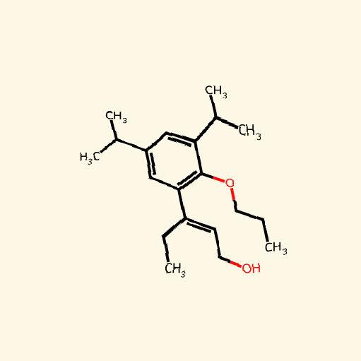 CCCOc1c(C(=CCO)CC)cc(C(C)C)cc1C(C)C